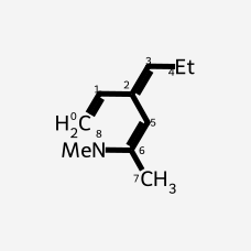 C=CC(=C/CC)/C=C(/C)NC